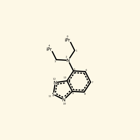 CC(C)CN(CC(C)C)c1cccc2nsnc12